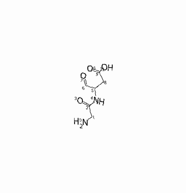 NCC(=O)NC(C=O)CC(=O)O